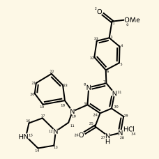 COC(=O)c1ccc(-c2nc(N(CN3CCNCC3)c3ccccc3)c3c(=O)[nH]ncc3n2)cc1.Cl